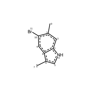 Cc1cc2[nH]cc(I)c2cc1Br